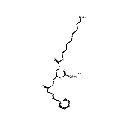 CCCCCCCCCCCCCCCCCCNC(=O)OCC(COC(=O)CCC[n+]1ccccc1)OC(=O)OC.[Cl-]